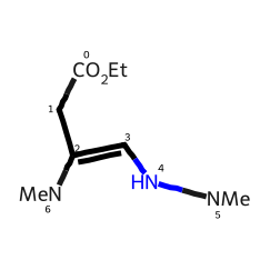 CCOC(=O)C/C(=C/NNC)NC